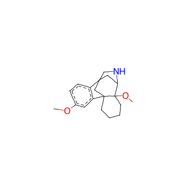 COc1ccc2c(c1)C13CCCCC1(OC)C1CC2(CN1)C3